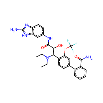 CCN(CC)C(c1ccc(-c2ccccc2C(N)=O)cc1OC(F)(F)F)C(O)C(=O)Nc1ccc2nc(N)[nH]c2c1